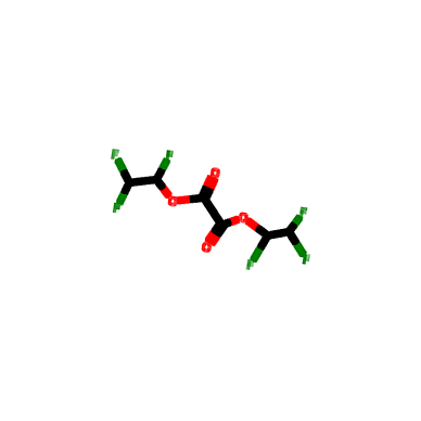 O=C(OC(F)C(F)F)C(=O)OC(F)C(F)F